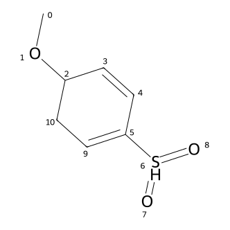 COC1C=CC([SH](=O)=O)=CC1